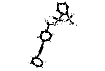 NS(=O)(=O)c1ccccc1S(=O)(=O)NC(=O)c1ccc(C#Cc2ccccn2)cc1